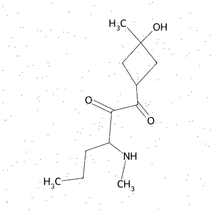 CCCC(NC)C(=O)C(=O)C1CC(C)(O)C1